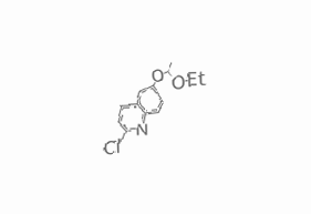 CCOC(C)Oc1ccc2nc(Cl)ccc2c1